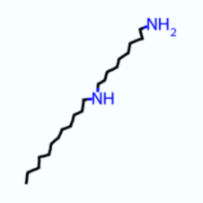 CCCCCCCCCCCCNCCCCCCCCCN